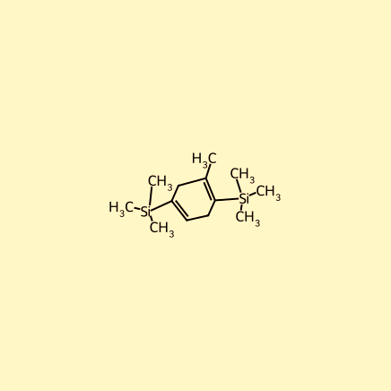 CC1=C([Si](C)(C)C)CC=C([Si](C)(C)C)C1